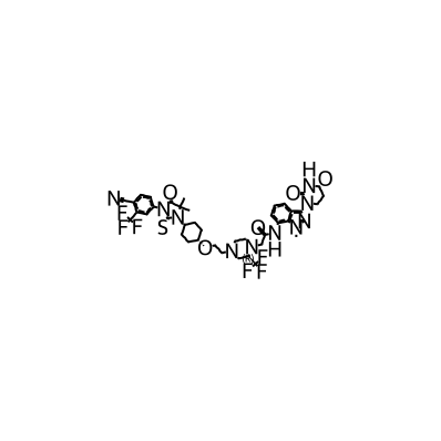 Cn1nc(N2CCC(=O)NC2=O)c2cccc(NC(=O)CN3CCN(CCO[C@H]4CC[C@H](N5C(=S)N(c6ccc(C#N)c(C(F)(F)F)c6)C(=O)C5(C)C)CC4)C[C@@H]3C(F)(F)F)c21